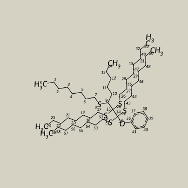 CCCCCCCCSC(CCCCC)C(SCCCCCCCC)(SCCCCCCCC)C(Oc1ccccc1)(SCCCCCCCC)SCCCCCCCC